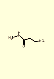 NNC(=O)CC[N+](=O)[O-]